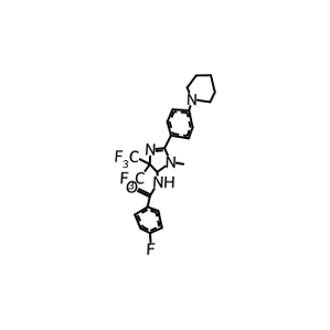 CN1C(c2ccc(N3CCCCC3)cc2)=NC(C(F)(F)F)(C(F)(F)F)C1NC(=O)c1ccc(F)cc1